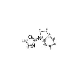 c1ccc2c(c1)CCN2c1ncco1